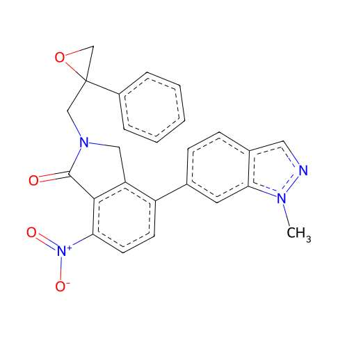 Cn1ncc2ccc(-c3ccc([N+](=O)[O-])c4c3CN(CC3(c5ccccc5)CO3)C4=O)cc21